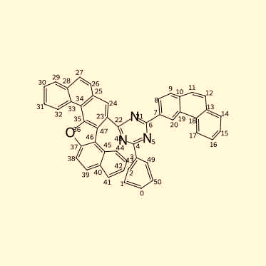 c1ccc(-c2nc(-c3ccc4ccc5ccccc5c4c3)nc(-c3cc4ccc5ccccc5c4c4oc5ccc6ccccc6c5c34)n2)cc1